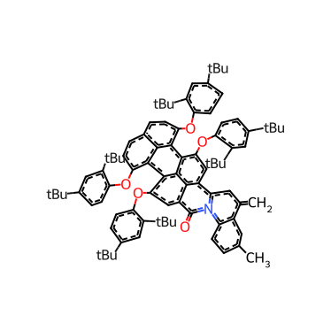 C=c1cc2c3cc(Oc4ccc(C(C)(C)C)cc4C(C)(C)C)c4c5c(Oc6ccc(C(C)(C)C)cc6C(C)(C)C)ccc6ccc(Oc7ccc(C(C)(C)C)cc7C(C)(C)C)c(c7c(Oc8ccc(C(C)(C)C)cc8C(C)(C)C)cc(c(=O)n2c2ccc(C)cc12)c3c74)c65